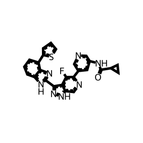 O=C(Nc1cncc(-c2ncc3[nH]nc(-c4nc5c(-c6cccs6)cccc5[nH]4)c3c2F)c1)C1CC1